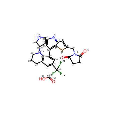 O=C1CCC(=O)N1Cc1cc2nccc(-c3cc(C(F)(F)F)cc4c3N([C@@H]3CCNC3)CCC4)c2s1.O=CO